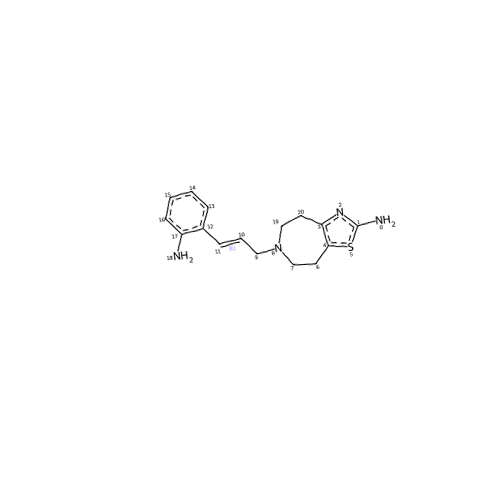 Nc1nc2c(s1)CCN(C/C=C/c1ccccc1N)CC2